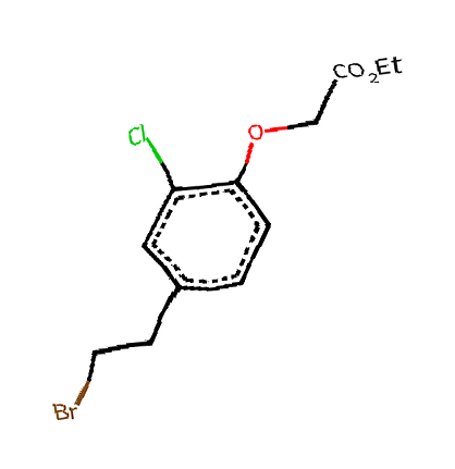 CCOC(=O)COc1ccc(CCBr)cc1Cl